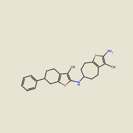 N#Cc1c(N)sc2c1CCC(Nc1sc3c(c1C#N)CCC(c1ccccc1)C3)CC2